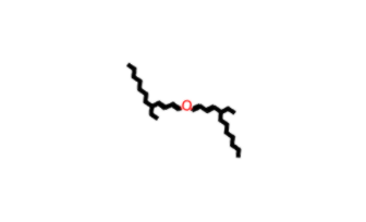 CCCCCCCC(C=CC=COC=CC=CC(CC)CCCCCCC)CC